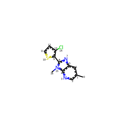 Cc1cnc2c(c1)nc(-c1sccc1Cl)n2C